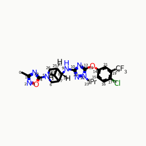 Cc1noc(N2CC3[C@@H](Nc4nc(Oc5ccc(Cl)c(C(F)(F)F)c5)n(C(C)C)n4)[C@H](C2)[C@H]3C)n1